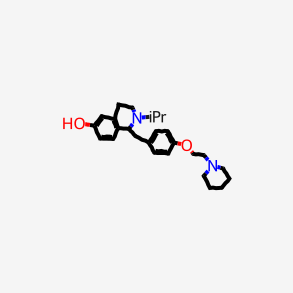 CC(C)N1CCc2cc(O)ccc2C1Cc1ccc(OCCN2CCCCC2)cc1